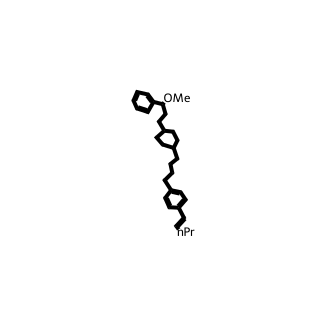 CCC/C=C/c1ccc(CCCCC2CCC(CCC(OC)c3ccccc3)CC2)cc1